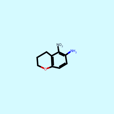 Nc1ccc2c(c1[N+](=O)[O-])CCCO2